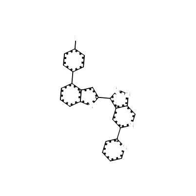 Fc1ccc(-c2cccc3[nH]c(-c4n[nH]c5cnc(-c6ccccn6)cc45)cc23)cc1